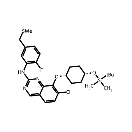 CSCc1ccc(F)c(Nc2ncc3ccc(Cl)c(O[C@H]4CC[C@@H](O[Si](C)(C)C(C)(C)C)CC4)c3n2)c1